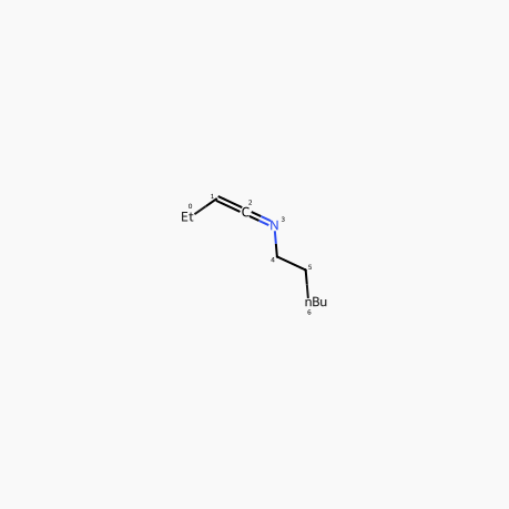 CCC=C=NCCCCCC